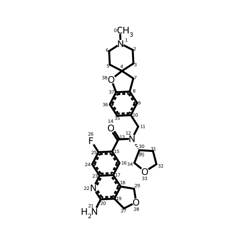 CN1CCC2(CC1)Cc1cc(CN(C(=O)c3cc4c5c(c(N)nc4cc3F)COC5)[C@@H]3CCOC3)ccc1O2